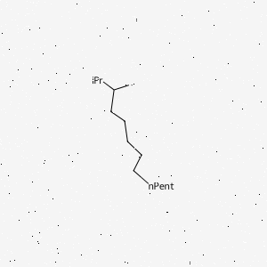 [CH2]C(CCCCCCCCCC)C(C)C